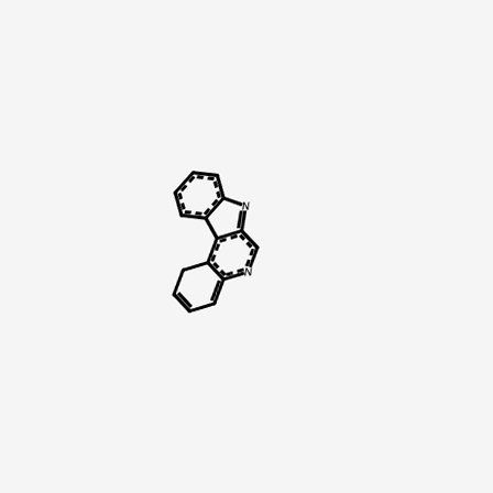 C1=CCc2c3c(cnc2=C1)=Nc1ccccc1-3